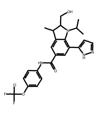 CC1c2cc(C(=O)Nc3ccc(OC(F)(F)Cl)cc3)cc(-c3ccn[nH]3)c2N(C(C)C)C1CO